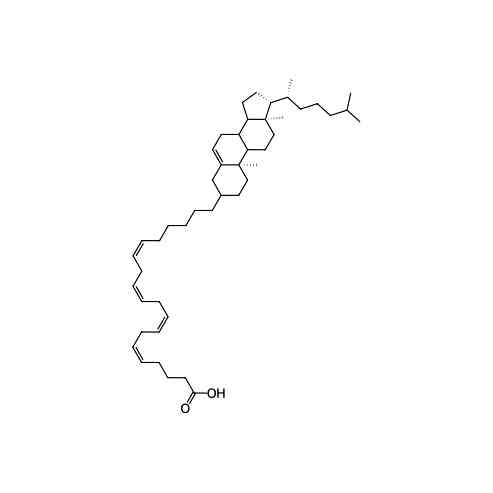 CC(C)CCC[C@@H](C)[C@H]1CCC2C3CC=C4CC(CCCCC/C=C\C/C=C\C/C=C\C/C=C\CCCC(=O)O)CC[C@]4(C)C3CC[C@@]21C